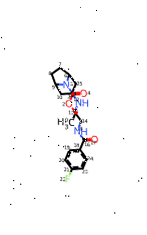 CCOC(=O)N1C2CCC1CC(NCCNC(=O)c1ccc(F)cc1)C2